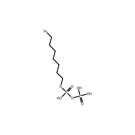 [2H]CCCCCCCOP(=O)(O)OP(=O)(O)O